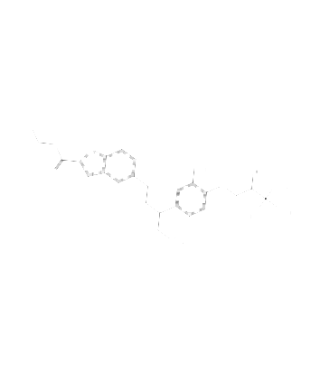 CCOC(=O)c1cc2cc(CCC(CC)c3ccc(OCC(O)C(C)(C)C)c(C)c3)ccc2o1